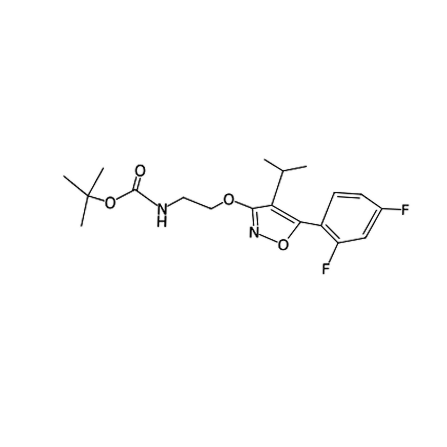 CC(C)c1c(OCCNC(=O)OC(C)(C)C)noc1-c1ccc(F)cc1F